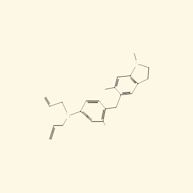 C=CCN(CC=C)c1ccc(Cc2cc3c(cc2Br)N(C)CC3)c(Br)c1